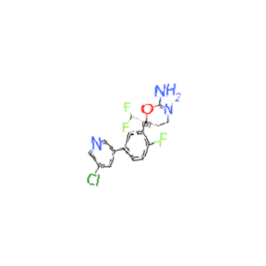 NC1=NCC[C@](c2cc(-c3cncc(Cl)c3)ccc2F)(C(F)F)O1